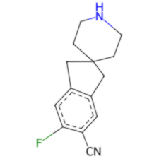 N#Cc1cc2c(cc1F)CC1(CCNCC1)C2